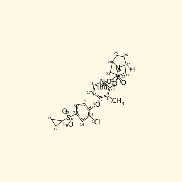 Cc1c(Oc2ccc(S(=O)(=O)C3CC3)cc2Cl)ncnc1O[C@H]1CC2CC[C@@H](C1)N2C(=O)OC(C)(C)C